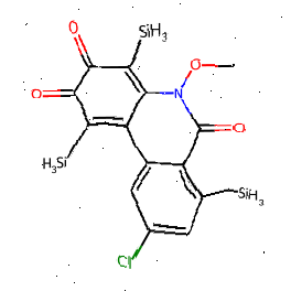 COn1c2c(c3cc(Cl)cc([SiH3])c3c1=O)=C([SiH3])C(=O)C(=O)C=2[SiH3]